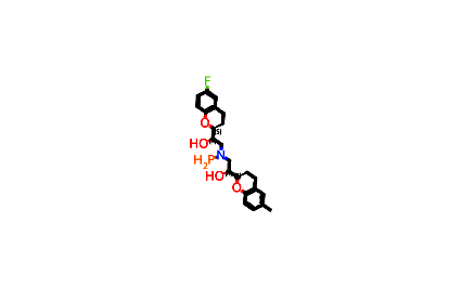 Cc1ccc2c(c1)CC[C@H]([C@H](O)CN(P)C[C@@H](O)[C@@H]1CCc3cc(F)ccc3O1)O2